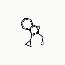 ClCc1nc2ccccc2n1C1CC1